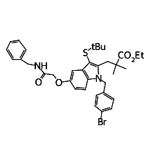 CCOC(=O)C(C)(C)Cc1c(SC(C)(C)C)c2cc(OCC(=O)NCc3ccccc3)ccc2n1Cc1ccc(Br)cc1